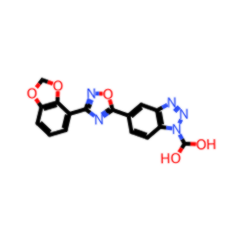 OC(O)n1nnc2cc(-c3nc(-c4cccc5c4OCO5)no3)ccc21